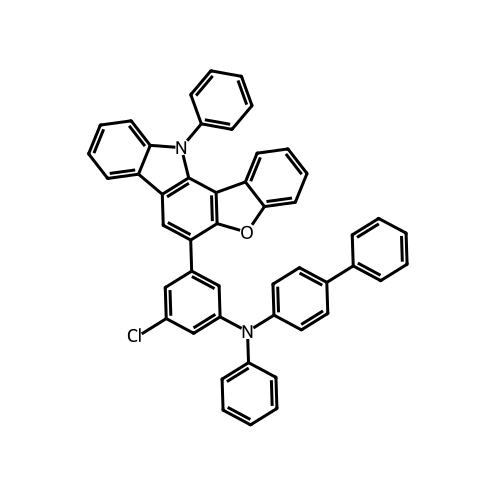 Clc1cc(-c2cc3c4ccccc4n(-c4ccccc4)c3c3c2oc2ccccc23)cc(N(c2ccccc2)c2ccc(-c3ccccc3)cc2)c1